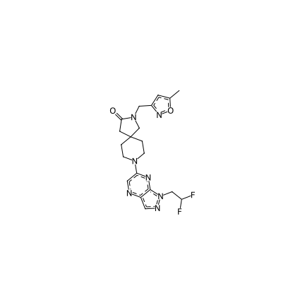 Cc1cc(CN2CC3(CCN(c4cnc5cnn(CC(F)F)c5n4)CC3)CC2=O)no1